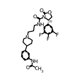 CC(=O)Nc1cccc(C2CCN(CCCNC(=O)N3C(=O)OC[C@@H]3c3cc(F)c(F)c(F)c3)CC2)c1